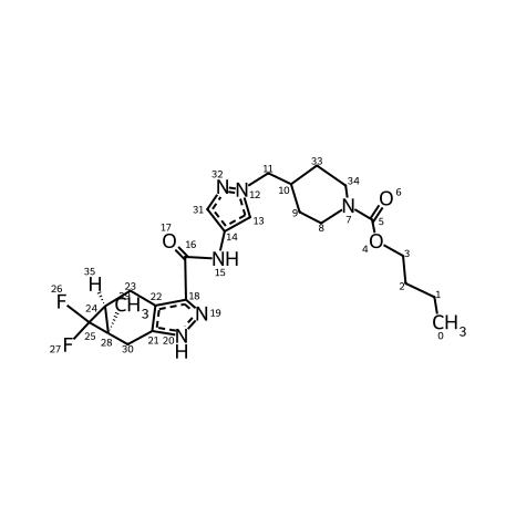 CCCCOC(=O)N1CCC(Cn2cc(NC(=O)c3n[nH]c4c3C[C@@H]3C(F)(F)[C@]3(C)C4)cn2)CC1